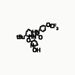 CC(C)(C)c1ccccc1Oc1nc(O)ccc1NC(=O)Nc1ccc(OC(F)(F)F)cc1